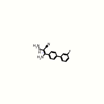 N#C/C(NN)=C(/N)c1ccc(-c2cccc(F)c2)cc1